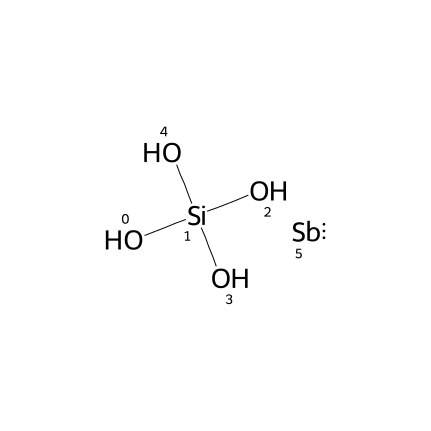 O[Si](O)(O)O.[Sb]